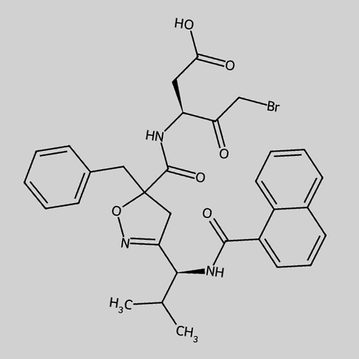 CC(C)[C@H](NC(=O)c1cccc2ccccc12)C1=NOC(Cc2ccccc2)(C(=O)N[C@@H](CC(=O)O)C(=O)CBr)C1